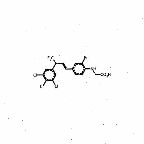 O=C(O)CNc1ccc(C=CC(c2cc(Cl)c(Cl)c(Cl)c2)C(F)(F)F)cc1Br